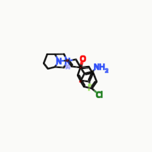 Nc1cc(Cl)ccc1C(=O)/C=C/N1C2CCCC1CN(Cc1ccc(F)cc1)C2